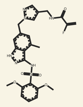 C=C(F)C(=O)NCc1cnn(Cc2cc(C)c3c(NS(=O)(=O)c4c(OC)cccc4OC)n[nH]c3c2)c1